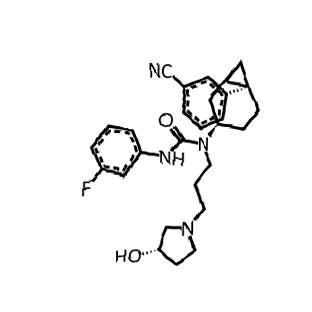 N#Cc1cccc([C@]23CC[C@@H](N(CCCN4CC[C@H](O)C4)C(=O)Nc4cccc(F)c4)CC2C3)c1